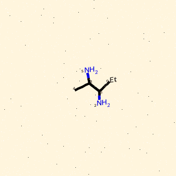 CCC(N)C(C)N